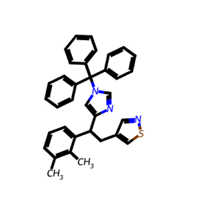 Cc1cccc(C(Cc2cnsc2)c2cn(C(c3ccccc3)(c3ccccc3)c3ccccc3)cn2)c1C